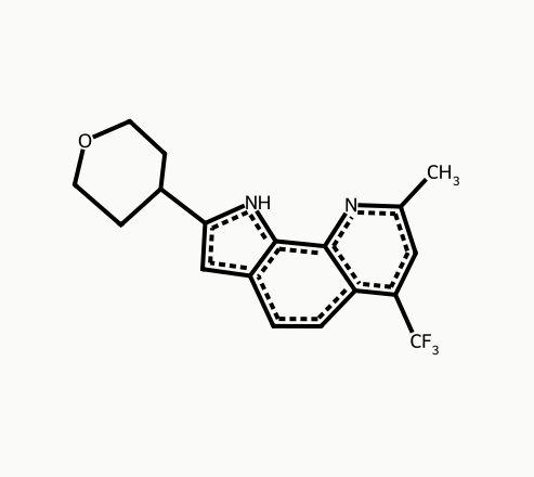 Cc1cc(C(F)(F)F)c2ccc3cc(C4CCOCC4)[nH]c3c2n1